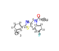 CC(C)(C)C(=O)N(Cc1csc(-c2cccc(C(F)(F)F)c2)n1)c1ccc(F)cc1